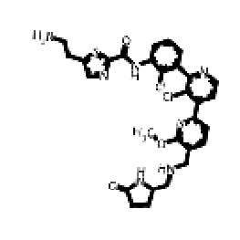 COc1nc(-c2ccnc(-c3cccc(NC(=O)c4ncc(CCN)s4)c3Cl)c2Cl)ccc1CNCC1CCC(=O)N1